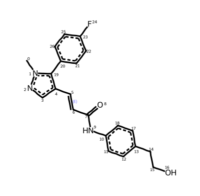 Cn1ncc(/C=C/C(=O)Nc2ccc(CCO)cc2)c1-c1ccc(F)cc1